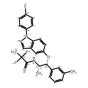 Cc1cccc([C@@H](Oc2ccc3c(cnn3-c3ccc(F)cc3)c2)[C@H](C)NC(=O)C(C)(F)F)c1